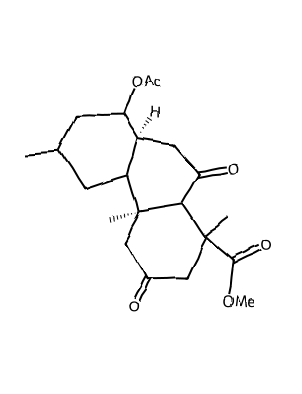 COC(=O)C1(C)CC(=O)C[C@@]2(C)C3CC(C)CC(OC(C)=O)[C@H]3CC(=O)C12